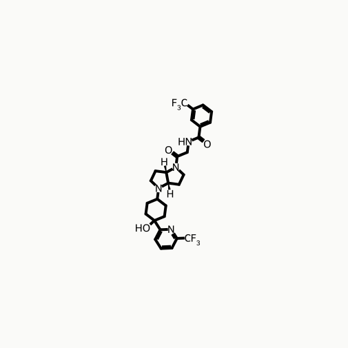 O=C(NCC(=O)N1CC[C@H]2[C@@H]1CCN2C1CCC(O)(c2cccc(C(F)(F)F)n2)CC1)c1cccc(C(F)(F)F)c1